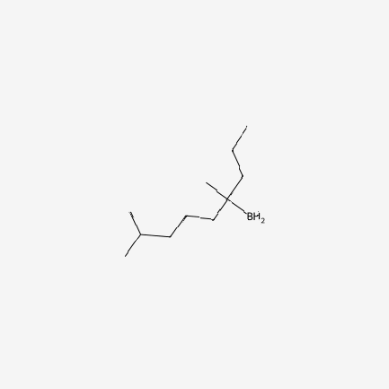 BC(C)(CCC)CCCC(C)C